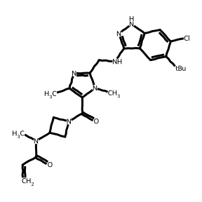 C=CC(=O)N(C)C1CN(C(=O)c2c(C)nc(CNc3n[nH]c4cc(Cl)c(C(C)(C)C)cc34)n2C)C1